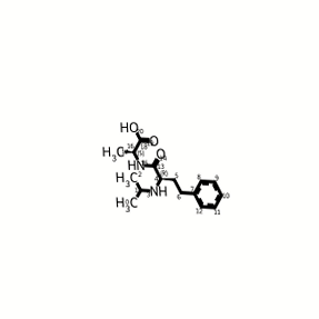 CC(C)N[C@H](CCc1ccccc1)C(=O)N[C@@H](C)C(=O)O